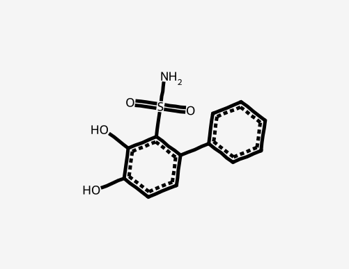 NS(=O)(=O)c1c(-c2ccccc2)ccc(O)c1O